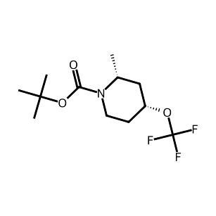 C[C@@H]1C[C@H](OC(F)(F)F)CCN1C(=O)OC(C)(C)C